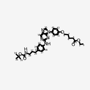 CCOC(=O)CCCCOc1ccc(-n2cnc3cnc(Nc4ccc(CCCNC(=O)OC(C)(C)C)cc4)nc32)cc1